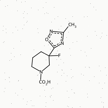 Cc1noc(C2(F)CCCN(C(=O)O)C2)n1